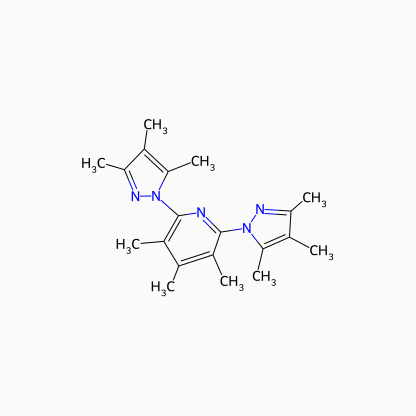 Cc1nn(-c2nc(-n3nc(C)c(C)c3C)c(C)c(C)c2C)c(C)c1C